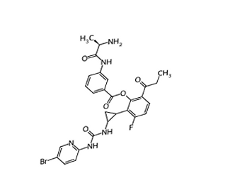 CCC(=O)c1ccc(F)c(C2CC2NC(=O)Nc2ccc(Br)cn2)c1OC(=O)c1cccc(NC(=O)[C@@H](C)N)c1